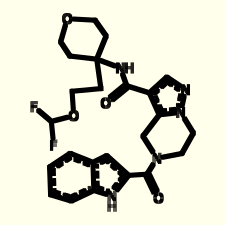 O=C(NC1(CCOC(F)F)CCOCC1)c1cnn2c1CN(C(=O)c1cc3ccccc3[nH]1)CC2